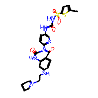 Cc1ccc(S(=O)(=O)NC(=O)Nc2ccc(-n3c(=O)[nH]c4cc(NCCN5CCCC5)ccc4c3=O)nc2)s1